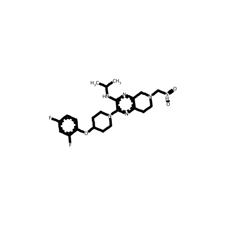 CC(C)Nc1nc2c(nc1N1CCC(Oc3ccc(F)cc3F)CC1)CCN(C[SH](=O)=O)C2